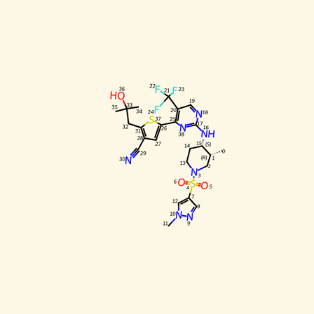 C[C@@H]1CN(S(=O)(=O)c2cnn(C)c2)CC[C@@H]1Nc1ncc(C(F)(F)F)c(-c2cc(C#N)c(CC(C)(C)O)s2)n1